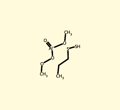 CCCSS.CO[O][Al-](=[O])[O]C